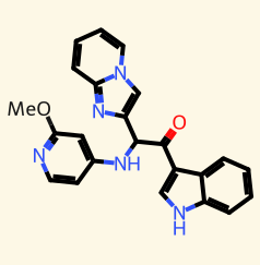 COc1cc(NC(C(=O)c2c[nH]c3ccccc23)c2cn3ccccc3n2)ccn1